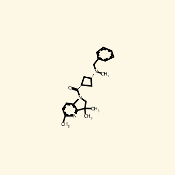 Cc1ccc2c(n1)C(C)(C)CN2C(=O)[C@H]1C[C@@H](N(C)Cc2ccccc2)C1